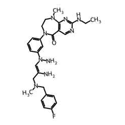 CCNc1ncc2c(n1)N(C)CCN(c1cccc(N(N)/C=C(\N)CN(C)Cc3ccc(F)cc3)c1)C2=O